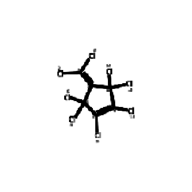 ClC(Cl)=C1C(Cl)(Cl)C(Cl)=C(Cl)C1(Cl)Cl